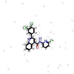 O=C(Nc1cccc(F)n1)c1cc(-c2ccc(Cl)c(Cl)c2)nc2ccccc12